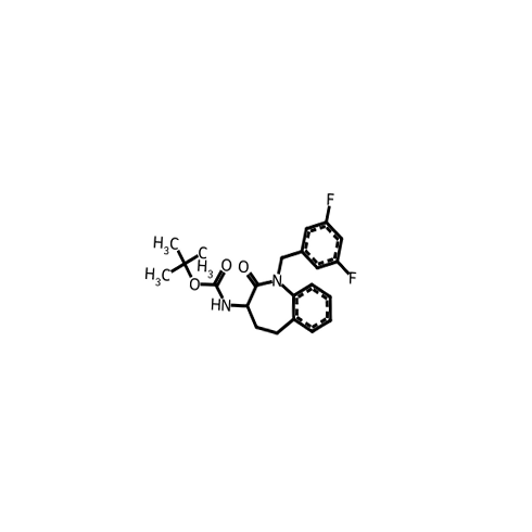 CC(C)(C)OC(=O)NC1CCc2ccccc2N(Cc2cc(F)cc(F)c2)C1=O